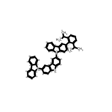 CC(C)c1cccc(C(C)C)c1-c1ccc2c(c1)c1ccccc1n2-c1ccc2oc3ccc(-n4c5ccccc5c5ccccc54)cc3c2c1